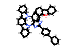 c1ccc(-c2ccc(-c3nc(-c4cccc5c4oc4ccccc45)cc(-n4c5ccccc5c5ccc6c7ccccc7n(-c7ccccc7)c6c54)n3)cc2)cc1